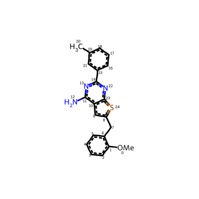 COc1ccccc1Cc1cc2c(N)nc(-c3cccc(C)c3)nc2s1